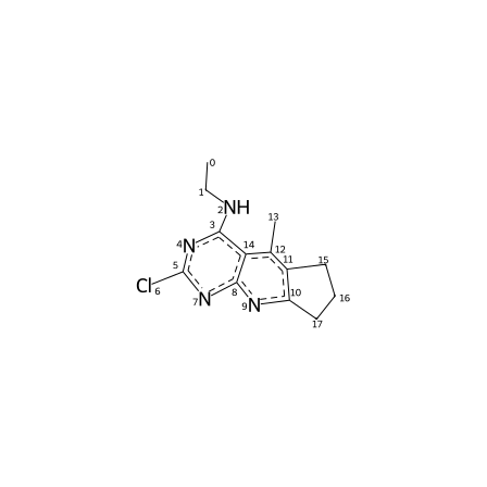 CCNc1nc(Cl)nc2nc3c(c(C)c12)CCC3